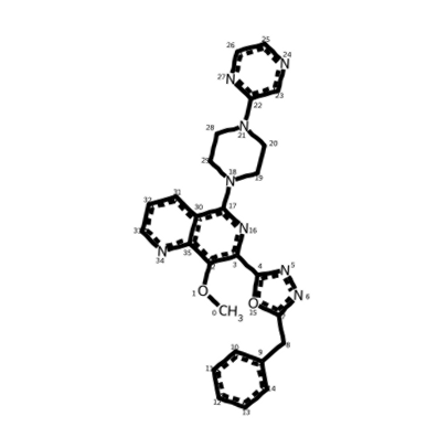 COc1c(-c2nnc(Cc3ccccc3)o2)nc(N2CCN(c3cnccn3)CC2)c2cccnc12